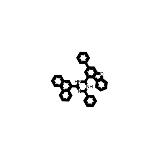 c1ccc(-c2cc(C3NC(c4cc5ccccc5c5ccccc45)=NC(c4ccccc4)N3)c3c(c2)oc2ccccc23)cc1